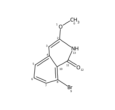 COc1cc2cccc(Br)c2c(=O)[nH]1